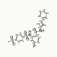 CS(=O)(=O)c1ccc(S(=O)(=O)Nc2cc(F)ccc2C(=O)NC23CC(c4ccccc4)(C2)C3)cc1